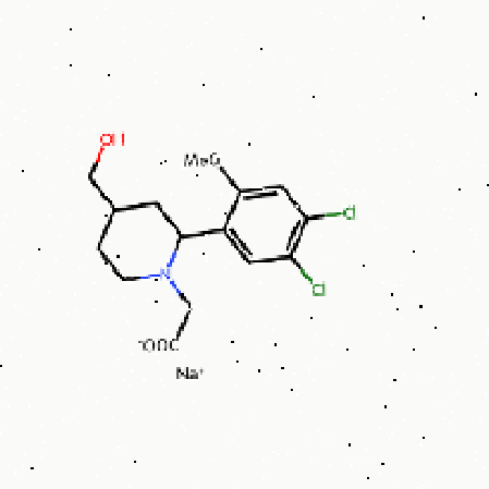 COc1cc(Cl)c(Cl)cc1C1CC(CO)CCN1CC(=O)[O-].[Na+]